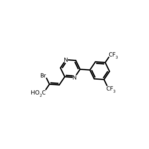 O=C(O)/C(Br)=C/c1cncc(-c2cc(C(F)(F)F)cc(C(F)(F)F)c2)n1